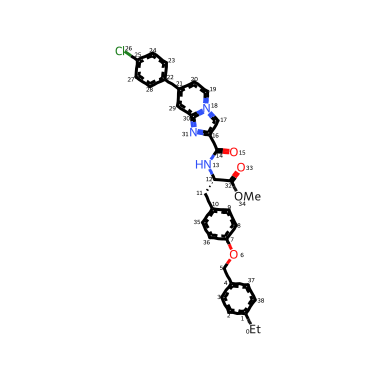 CCc1ccc(COc2ccc(C[C@H](NC(=O)c3cn4ccc(-c5ccc(Cl)cc5)cc4n3)C(=O)OC)cc2)cc1